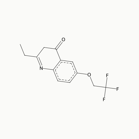 CCC1=Nc2ccc(OCC(F)(F)F)cc2C(=O)C1